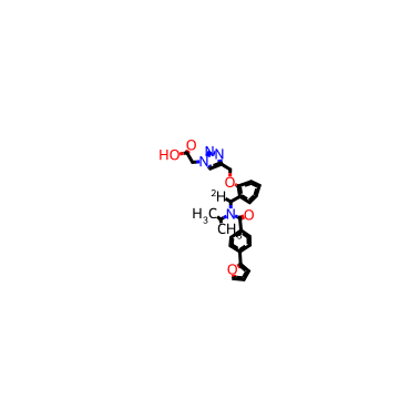 [2H]C(c1ccccc1OCc1cn(CC(=O)O)nn1)N(C(=O)c1ccc(-c2ccco2)cc1)C(C)C